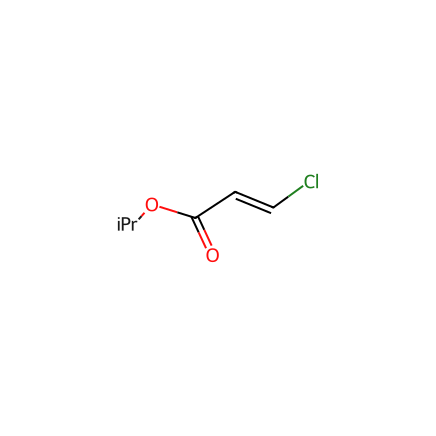 CC(C)OC(=O)C=CCl